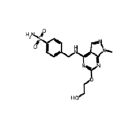 Cn1ncc2c(NCc3ccc(S(N)(=O)=O)cc3)nc(OCCO)nc21